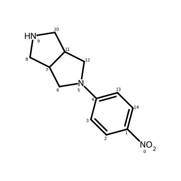 O=[N+]([O-])c1ccc(N2CC3CNCC3C2)cc1